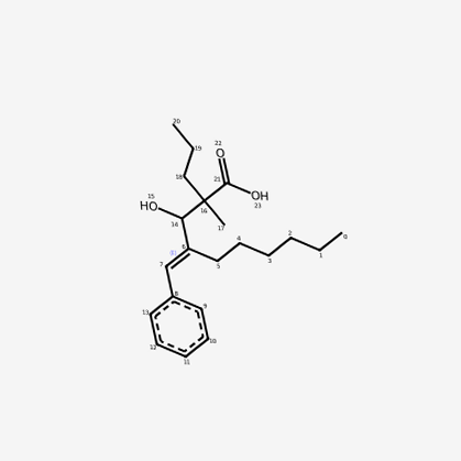 CCCCCC/C(=C\c1ccccc1)C(O)C(C)(CCC)C(=O)O